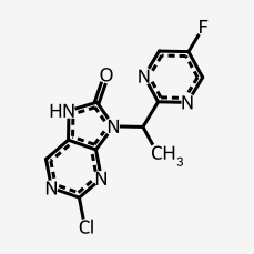 CC(c1ncc(F)cn1)n1c(=O)[nH]c2cnc(Cl)nc21